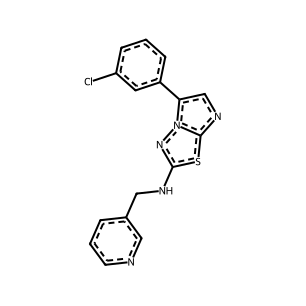 Clc1cccc(-c2cnc3sc(NCc4cccnc4)nn23)c1